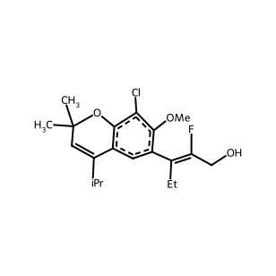 CCC(=C(F)CO)c1cc2c(c(Cl)c1OC)OC(C)(C)C=C2C(C)C